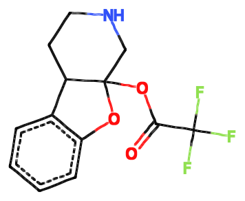 O=C(OC12CNCCC1c1ccccc1O2)C(F)(F)F